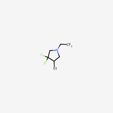 CCC1CN(CC(F)(F)F)CC1(F)F